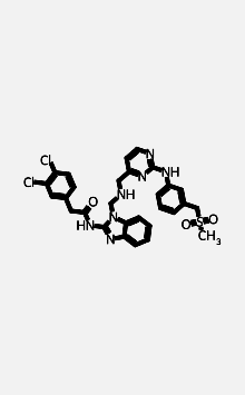 CS(=O)(=O)Cc1cccc(Nc2nccc(CNCn3c(NC(=O)Cc4ccc(Cl)c(Cl)c4)nc4ccccc43)n2)c1